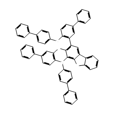 B1c2cc(-c3ccccc3)ccc2N(c2ccc(-c3ccccc3)cc2)c2c1c(-c1cc(-c3ccccc3)ccc1Nc1ccc(-c3ccccc3)cc1)cc1c2oc2ccccc21